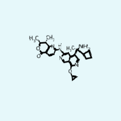 C[C@@H]1OC(=O)c2ccc(Nc3cc4c([C@@](C)(N)C5CCC5)cnc(OC5CC5)c4cn3)nc2[C@H]1C